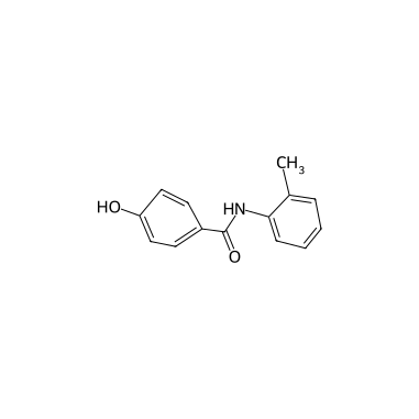 Cc1ccccc1NC(=O)c1ccc(O)cc1